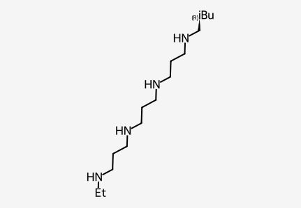 CCNCCCNCCCNCCCNC[C@H](C)CC